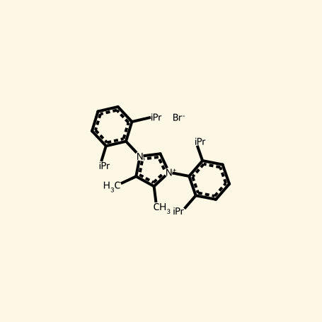 Cc1c(C)[n+](-c2c(C(C)C)cccc2C(C)C)cn1-c1c(C(C)C)cccc1C(C)C.[Br-]